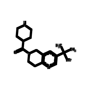 CCCC(C)(C)c1cnc2c(c1)CN(C(=O)C1CCNCC1)CC2